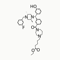 CCOC(=O)CCCCN1CCCN(C(=O)c2cccc([C@H](c3cccc(O)c3)N3C[C@@H](C)N(Cc4cccc(F)c4)C[C@@H]3C)c2)CC1